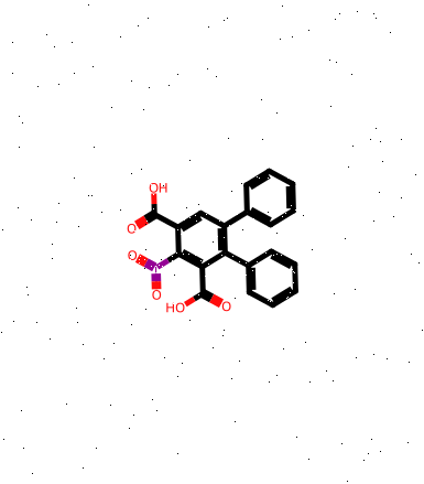 O=C(O)c1cc(-c2ccccc2)c(-c2ccccc2)c(C(=O)O)c1I(=O)=O